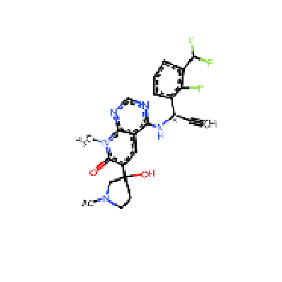 C#C[C@@H](Nc1ncnc2c1cc(C1(O)CCN(C(C)=O)C1)c(=O)n2C)c1cccc(C(F)F)c1F